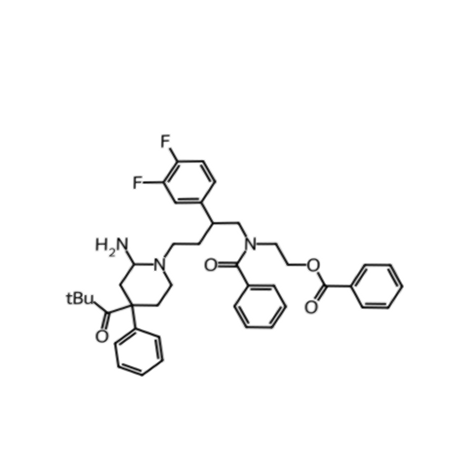 CC(C)(C)C(=O)C1(c2ccccc2)CCN(CCC(CN(CCOC(=O)c2ccccc2)C(=O)c2ccccc2)c2ccc(F)c(F)c2)C(N)C1